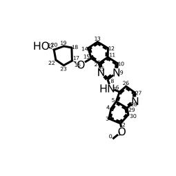 COc1ccc2c(Nc3ncc4cccc(O[C@H]5CC[C@@H](O)CC5)c4n3)ccnc2c1